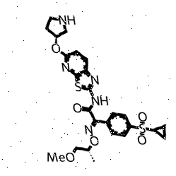 COC[C@@H](C)O/N=C(/C(=O)Nc1nc2ccc(O[C@H]3CCNC3)nc2s1)c1ccc(S(=O)(=O)C2CC2)cc1